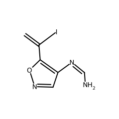 C=C(I)c1oncc1/N=C\N